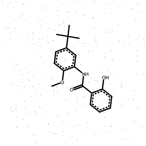 COc1ccc(C(C)(C)C)cc1NC(=O)c1c[c]ccc1O